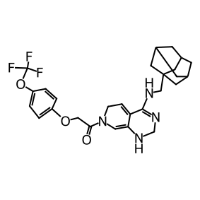 O=C(COc1ccc(OC(F)(F)F)cc1)N1C=C2NCN=C(NCC34CC5CC(CC(C5)C3)C4)C2=CC1